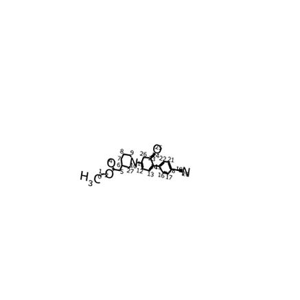 CCOC(=O)CC1CCCN(C2=CC=C(c3ccc(C#N)cc3)C(=C=O)C2)C1